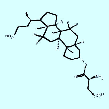 C[C@H](CCC(=O)O)C1CC[C@H]2[C@H]3[C@H](CC(F)(F)[C@]12C)[C@@]1(C)CC[C@@H](OC(=O)[C@@H](N)CC(=O)O)C[C@H]1CC3(F)F